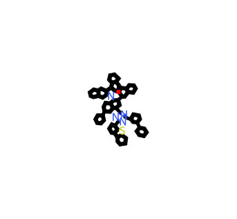 c1ccc(-c2cccc(-c3nc(-c4cc(-c5ccc6ccccc6c5)c(-n5c6cc7ccccc7cc6c6c7ccccc7ccc65)c5ccc(-c6ccccc6)cc45)nc(-c4cccc5c4sc4ccccc45)n3)c2)cc1